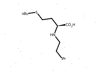 CCCCSCC[C@H](NCCC(C)C)C(=O)O